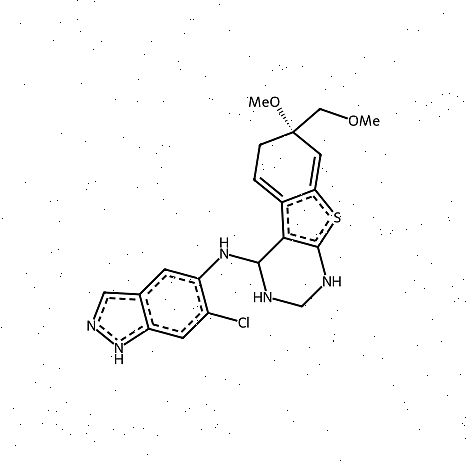 COC[C@@]1(OC)C=c2sc3c(c2=CC1)C(Nc1cc2cn[nH]c2cc1Cl)NCN3